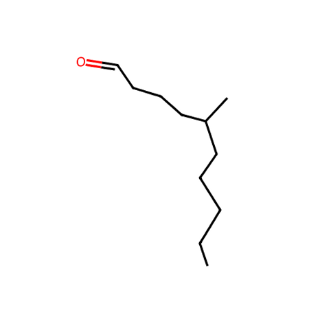 CCCCCC(C)CCCC=O